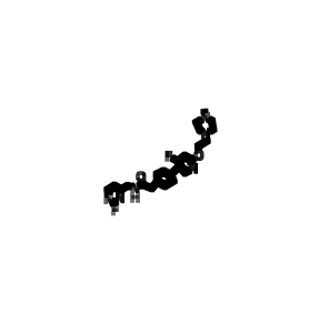 CN1CCN(CCOc2cc(F)c(-c3ccc(CC(=O)NCc4ccnc(F)n4)cc3)cn2)CC1